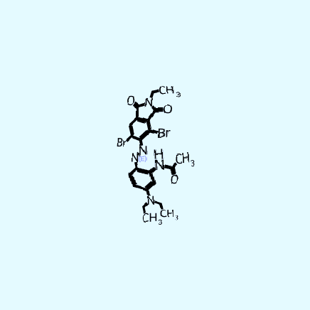 CCN1C(=O)c2cc(Br)c(/N=N/c3ccc(N(CC)CC)cc3NC(C)=O)c(Br)c2C1=O